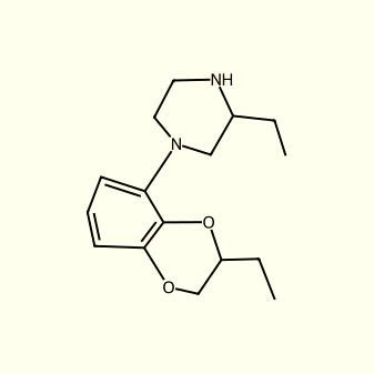 CCC1CN(c2cccc3c2OC(CC)CO3)CCN1